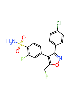 NS(=O)(=O)c1ccc(-c2c(-c3ccc(Cl)cc3)noc2CF)cc1F